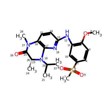 COc1ccc(S(C)(=O)=O)cc1Nc1ccc2c(n1)N(C(C)C)[C@H](C)C(=O)N2C